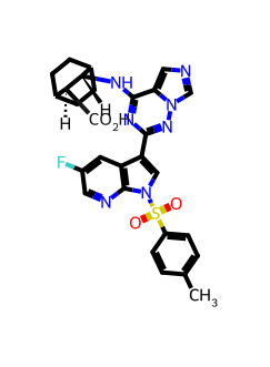 Cc1ccc(S(=O)(=O)n2cc(-c3nc(N[C@H]4C5CCC(CC5)[C@@H]4C(=O)O)c4cncn4n3)c3cc(F)cnc32)cc1